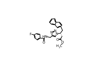 COC(=O)C[C@@H](Cc1ccc2ccccc2c1)n1cc(CNC(=O)c2ccc(F)cc2)nn1